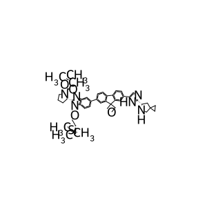 CC(C)(C)OC(=O)N1CCC[C@H]1c1nc2cc(-c3ccc4c(c3)C3(COC3)c3cc(-c5cnc([C@@H]6CC7(CC7)CN6)[nH]5)ccc3-4)ccc2n1COCC[Si](C)(C)C